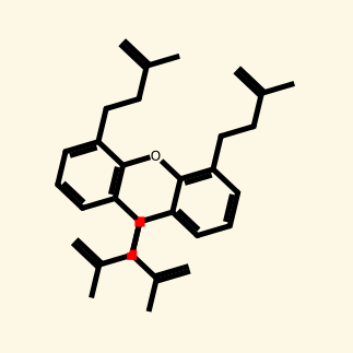 C=C(C)CCc1cccc(CCC(=C)C)c1Oc1c(CCC(=C)C)cccc1CCC(=C)C